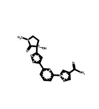 CN1CC[C@@](O)(c2cc(-c3cccc(-n4cc(C(N)=O)cn4)n3)no2)C1=O